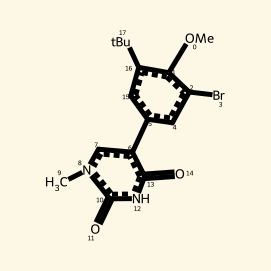 COc1c(Br)cc(-c2cn(C)c(=O)[nH]c2=O)cc1C(C)(C)C